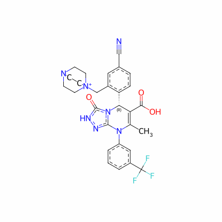 CC1=C(C(=O)O)[C@@H](c2ccc(C#N)cc2C[N+]23CCN(CC2)CC3)n2c(n[nH]c2=O)N1c1cccc(C(F)(F)F)c1